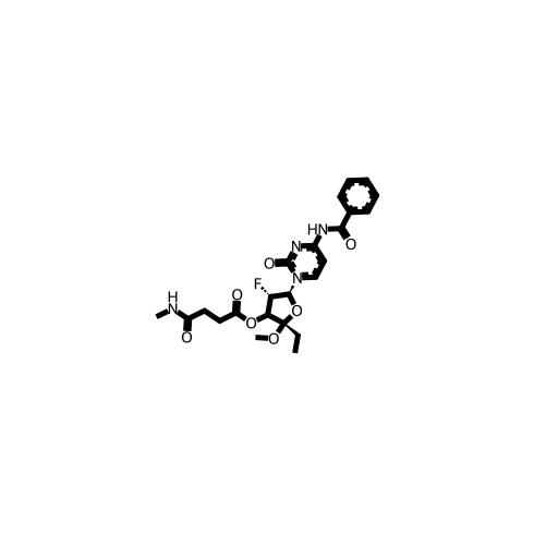 CC[C@]1(OC)O[C@@H](n2ccc(NC(=O)c3ccccc3)nc2=O)[C@@H](F)C1OC(=O)CCC(=O)NC